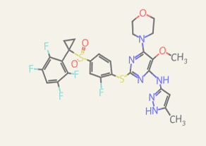 COc1c(Nc2cc(C)[nH]n2)nc(Sc2ccc(S(=O)(=O)C3(c4c(F)c(F)cc(F)c4F)CC3)cc2F)nc1N1CCOCC1